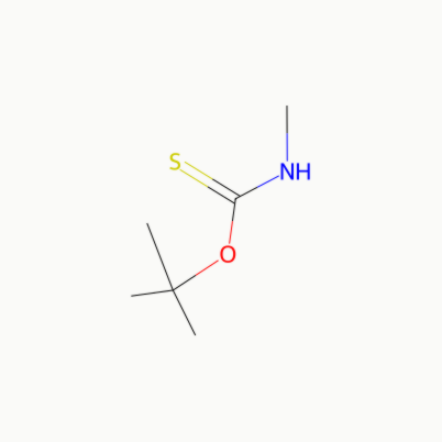 CNC(=S)OC(C)(C)C